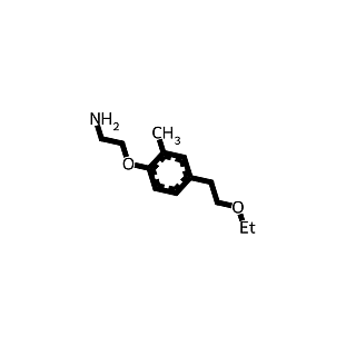 CCOCCc1ccc(OCCN)c(C)c1